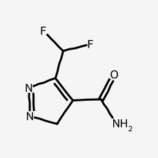 NC(=O)C1=C(C(F)F)N=NC1